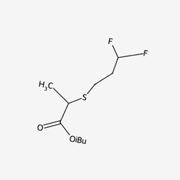 CC(C)COC(=O)C(C)SCCC(F)F